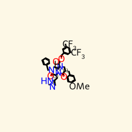 COc1ccc(C[C@H]2CN(C(=O)OCc3cc(C(F)(F)F)cc(C(F)(F)F)c3)[C@H]3CN(Cc4ccccc4)C(=O)[C@H](Cc4cnc[nH]4)N3C2=O)cc1